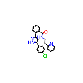 O=C(NCCc1ccccn1)c1ccccc1-c1cc(-c2ccc(Cl)cc2)[nH]n1